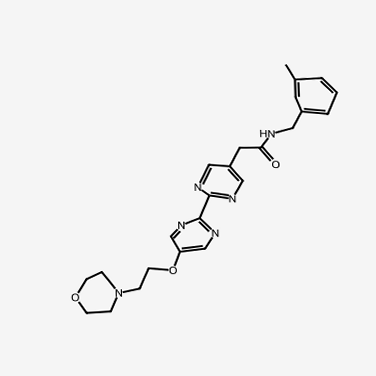 Cc1cccc(CNC(=O)Cc2cnc(-c3ncc(OCCN4CCOCC4)cn3)nc2)c1